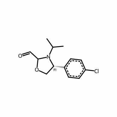 CC(C)N1C(C=O)OC[C@H]1c1ccc(Cl)cc1